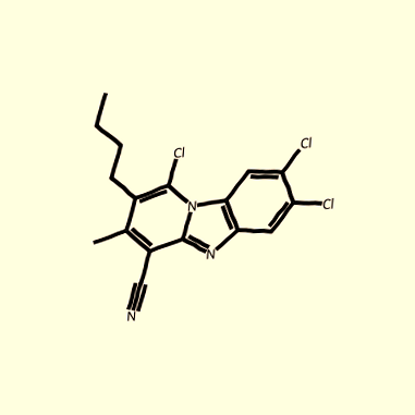 CCCCc1c(C)c(C#N)c2nc3cc(Cl)c(Cl)cc3n2c1Cl